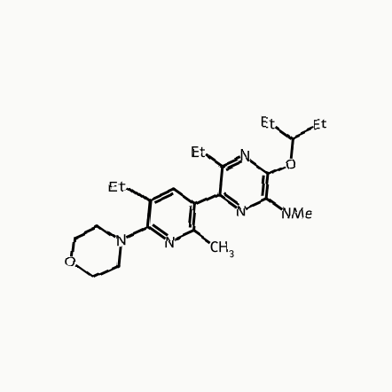 CCc1cc(-c2nc(NC)c(OC(CC)CC)nc2CC)c(C)nc1N1CCOCC1